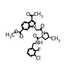 COC(=O)c1ccc2c(C(C)=O)cn(CC(=O)N3C[C@@H](C)C[C@H]3C(=O)NCc3cccc(Cl)c3F)c2c1